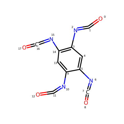 O=C=Nc1cc(N=C=O)c(N=C=O)cc1N=C=O